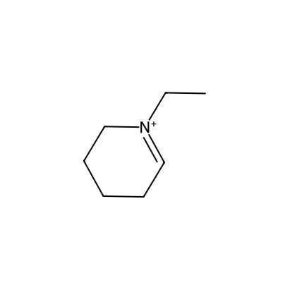 CC[N+]1=CCCCC1